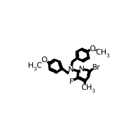 COc1ccc(CN(Cc2ccc(OC)cc2)c2nc(Br)cc(C)c2F)cc1